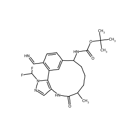 CC1CCCC(NC(=O)OC(C)(C)C)c2ccc(C=N)c(c2)-c2c(cnn2C(F)F)NC1=O